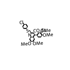 CCOC(=O)c1c(CSc2ccc(Cl)cc2)nc2cc(OC)c(OC)cc2c1-c1ccc(OC)c(OC)c1